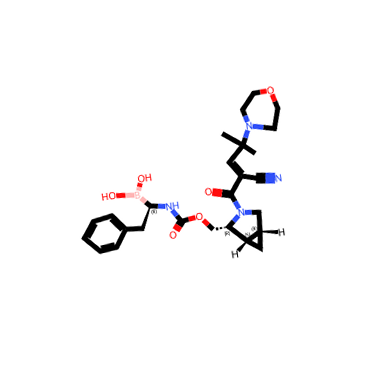 CC(C)(C=C(C#N)C(=O)N1C[C@@H]2C[C@@H]2[C@@H]1COC(=O)N[C@@H](Cc1ccccc1)B(O)O)N1CCOCC1